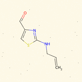 C=CCNc1nc(C=O)cs1